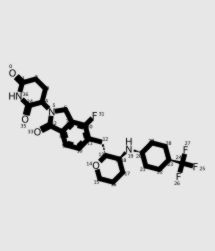 O=C1CCC(N2Cc3c(ccc(C[C@H]4OCCC[C@@H]4N[C@H]4CC[C@H](C(F)(F)F)CC4)c3F)C2=O)C(=O)N1